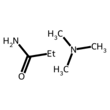 CCC(N)=O.CN(C)C